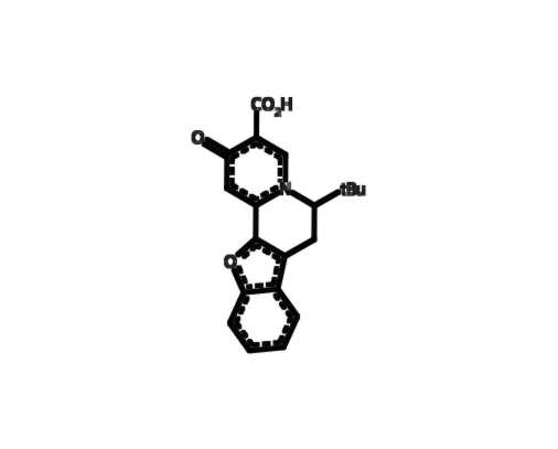 CC(C)(C)C1Cc2c(oc3ccccc23)-c2cc(=O)c(C(=O)O)cn21